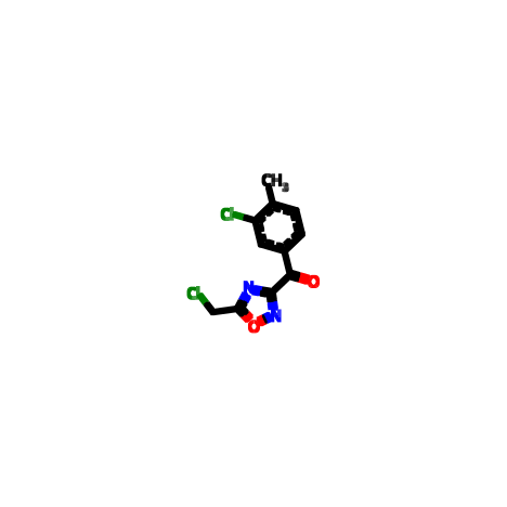 Cc1ccc(C(=O)c2noc(CCl)n2)cc1Cl